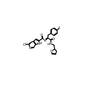 O=C(NCC1CC=CO1)/C(Cc1ccc(F)cc1)=N/C(=O)c1cc2cc(Cl)ncc2[nH]1